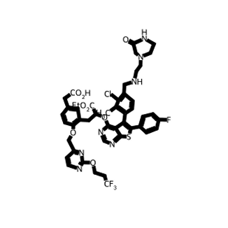 CCOC(=O)C(Cc1cc(CC(=O)O)ccc1OCc1ccnc(OCCC(F)(F)F)n1)Oc1ncnc2sc(-c3ccc(F)cc3)c(-c3ccc(CNCCN4CCNC(=O)C4)c(Cl)c3C)c12